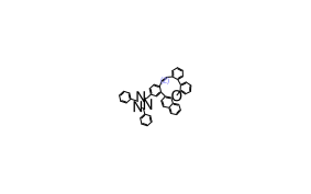 C1=C\c2ccc(-c3nc(-c4ccccc4)nc(-c4ccccc4)n3)cc2-c2ccc3ccccc3c2Oc2ccccc2-c2ccccc2/1